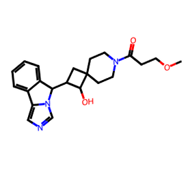 COCCC(=O)N1CCC2(CC1)CC(C1c3ccccc3-c3cncn31)C2O